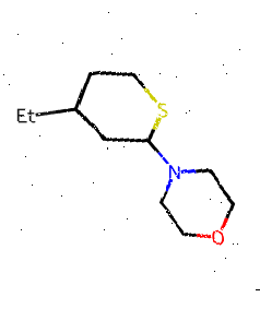 CCC1CCSC(N2CCOCC2)C1